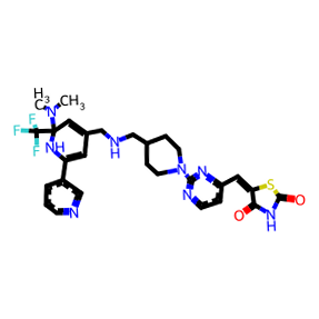 CN(C)C1(C(F)(F)F)C=C(CNCC2CCN(c3nccc(C=C4SC(=O)NC4=O)n3)CC2)C=C(c2cccnc2)N1